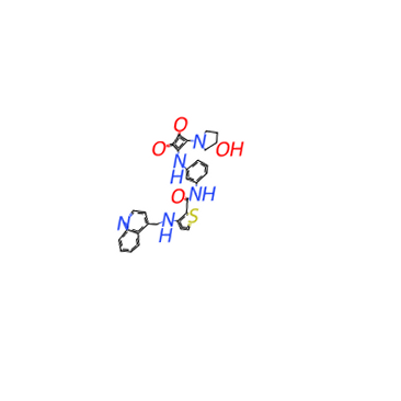 O=C(Nc1cccc(Nc2c(N3CCC(O)C3)c(=O)c2=O)c1)c1sccc1NCc1ccnc2ccccc12